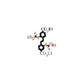 CCOC(=O)c1ccc(/C=C/c2ccc(C(=O)OCC)cc2SC(=S)OCC)c(SC(=S)OCC)c1